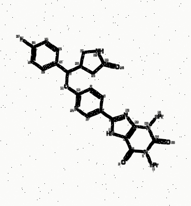 CCCn1c(=O)c2[nH]c(-c3ccc(OC(c4ccc(F)cc4)C4CNC(=O)C4)nc3)nc2n(CCC)c1=O